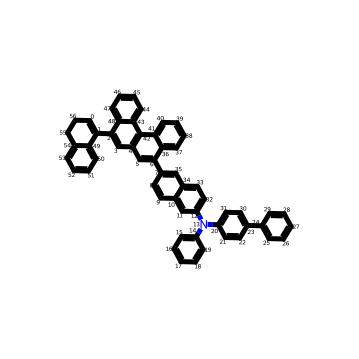 C1=C(c2cc3cc(-c4ccc5cc(N(c6ccccc6)c6ccc(-c7ccccc7)cc6)ccc5c4)c4ccccc4c3c3ccccc23)c2ccccc2CC1